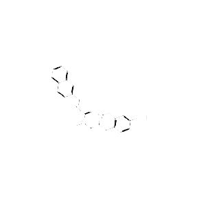 CN(C[C@@H]1Cc2ccc(O)cc2CN1)C(=O)NCc1ccc2ccccc2c1